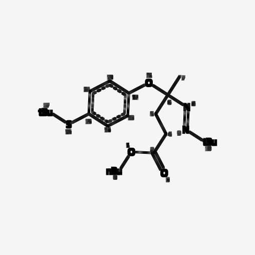 CCCCOC(=O)CCC(C)(N=NC(C)(C)C)Oc1ccc(SC(C)(C)C)cc1